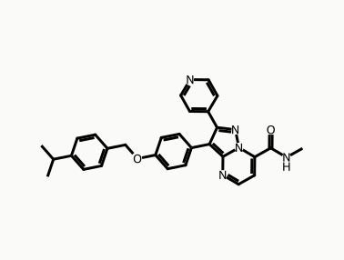 CNC(=O)c1ccnc2c(-c3ccc(OCc4ccc(C(C)C)cc4)cc3)c(-c3ccncc3)nn12